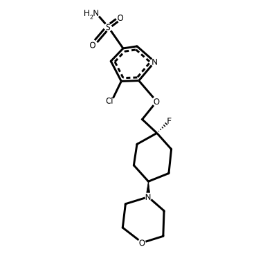 NS(=O)(=O)c1cnc(OC[C@]2(F)CC[C@H](N3CCOCC3)CC2)c(Cl)c1